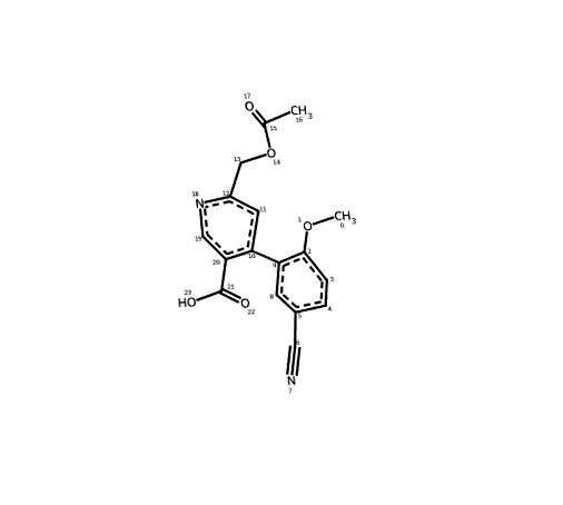 COc1ccc(C#N)cc1-c1cc(COC(C)=O)ncc1C(=O)O